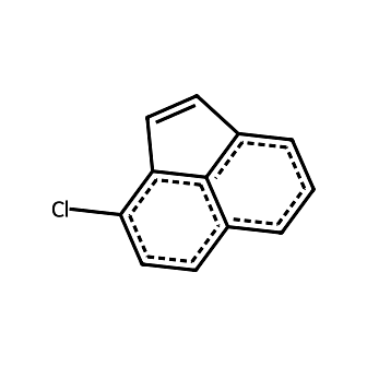 Clc1ccc2cccc3c2c1C=C3